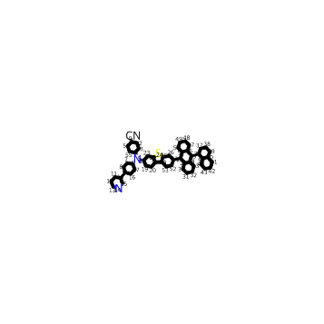 N#Cc1ccc(N(c2ccc(-c3cccnc3)cc2)c2ccc3c(c2)sc2cc(-c4c5ccccc5c(-c5cccc6ccccc56)c5ccccc45)ccc23)cc1